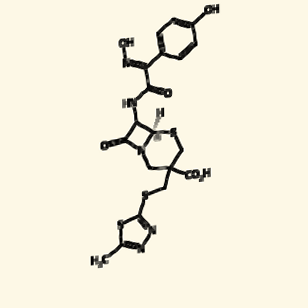 Cc1nnc(SCC2(C(=O)O)CS[C@@H]3C(NC(=O)C(=NO)c4ccc(O)cc4)C(=O)N3C2)s1